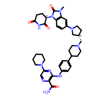 Cn1c(=O)n([C@@H]2CCC(=O)NC2=O)c2ccc(N3CC[C@H](CN4CCC(c5ccc(Nc6nc(N7CCCCC7)cnc6C(N)=O)cc5)CC4)C3)cc21